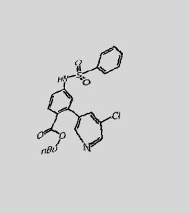 CCCCOC(=O)c1ccc(NS(=O)(=O)c2ccccc2)cc1-c1cncc(Cl)c1